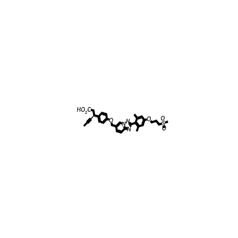 CC#C[C@@H](CC(=O)O)c1ccc(OCc2ccc3nc(-c4c(C)cc(OCCCS(C)(=O)=O)cc4C)nn3c2)cc1